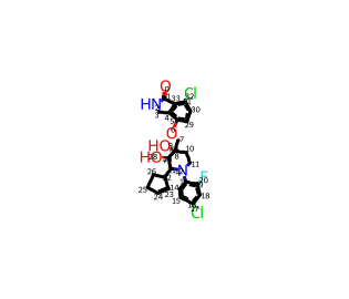 O=C1NCc2c(OC[C@]3(O)CCN(c4ccc(Cl)cc4F)C(C4C=CCC4)[C@H]3O)ccc(Cl)c21